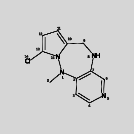 CN1c2ccncc2NCc2ccc(Cl)n21